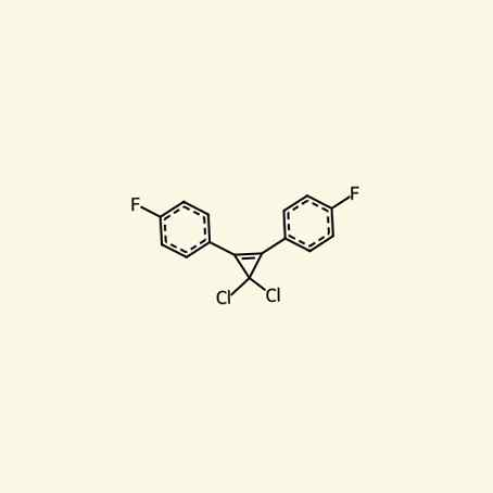 Fc1ccc(C2=C(c3ccc(F)cc3)C2(Cl)Cl)cc1